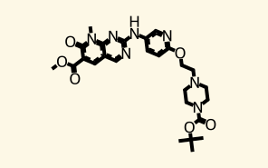 COC(=O)c1cc2cnc(Nc3ccc(OCCN4CCN(C(=O)OC(C)(C)C)CC4)nc3)nc2n(C)c1=O